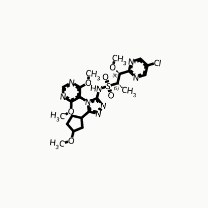 COc1ncnc(OC)c1-n1c(NS(=O)(=O)[C@@H](C)[C@H](OC)c2ncc(Cl)cn2)nnc1C1CCC(OC)C1